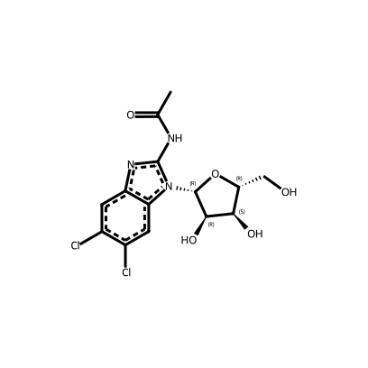 CC(=O)Nc1nc2cc(Cl)c(Cl)cc2n1[C@@H]1O[C@H](CO)[C@@H](O)[C@H]1O